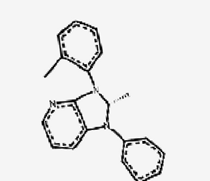 Cc1ccccc1N1c2ncccc2N(c2ccccc2)[C@H]1C